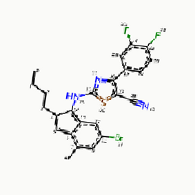 CCCCC1C=c2c(C)cc(Br)cc2=C1Nc1nc(-c2ccc(F)c(F)c2)c(C#N)s1